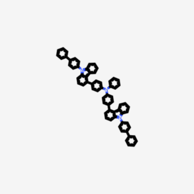 c1ccc(-c2ccc(-n3c4ccccc4c4c(-c5ccc(N(c6ccccc6)c6ccc(-c7cccc8c7c7ccccc7n8-c7ccc(-c8ccccc8)cc7)cc6)cc5)cccc43)cc2)cc1